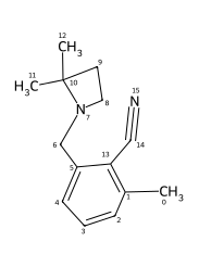 Cc1cccc(CN2CCC2(C)C)c1C#N